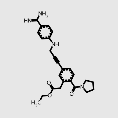 CCOC(=O)Cc1cc(C#CCNc2ccc(C(=N)N)cc2)ccc1C(=O)N1CCCC1